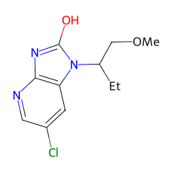 CCC(COC)n1c(O)nc2ncc(Cl)cc21